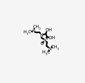 CN(C)CCN1C[N+]([O-])(CCN(C)C)C(O)C1O